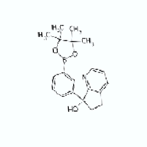 CC1(C)OB(c2cccc([C@]3(O)CCc4cccnc43)c2)OC1(C)C